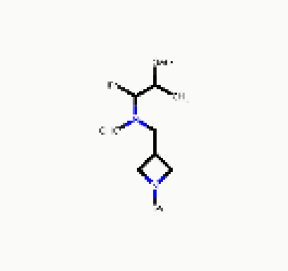 COC(C)C(C(C)C)N(C=O)CC1CN(C(C)C)C1